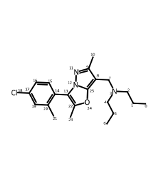 CCCN(CCC)Cc1c(C)nn2c(-c3ccc(Cl)cc3C)c(C)oc12